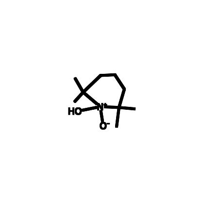 CC1(C)CCCC(C)(C)[N+]1([O-])O